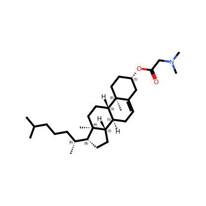 CC(C)CCC[C@@H](C)[C@H]1CC[C@H]2[C@@H]3CC=C4C[C@@H](OC(=O)CN(C)C)CC[C@]4(C)[C@H]3CC[C@]12C